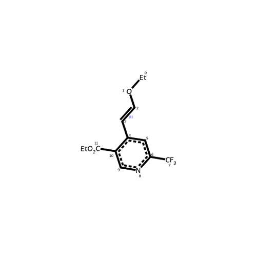 CCO/C=C/c1cc(C(F)(F)F)ncc1C(=O)OCC